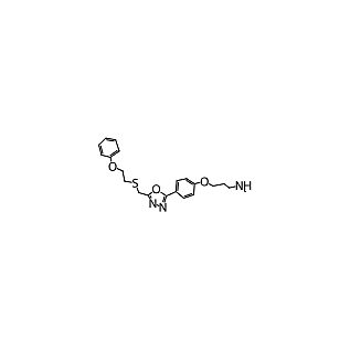 CNCCCOc1ccc(-c2nnc(CSCCOc3ccccc3)o2)cc1